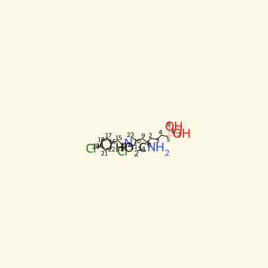 NC(CCCCB(O)O)(CC1CN(C(Cl)Cc2ccc(Cl)cc2)C1)C(=O)O